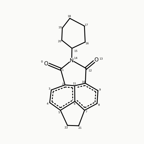 O=C1c2ccc3c4c(ccc(c24)C(=O)N1C1CCCCC1)CC3